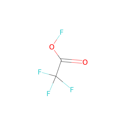 O=C(OF)C(F)(F)F